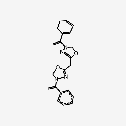 C=C(C1=CC=CCC1)N1COC(CC2=NN(C(=C)c3ccccc3)CO2)=N1